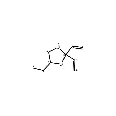 C=CC1(C=C)OCC(CC)O1